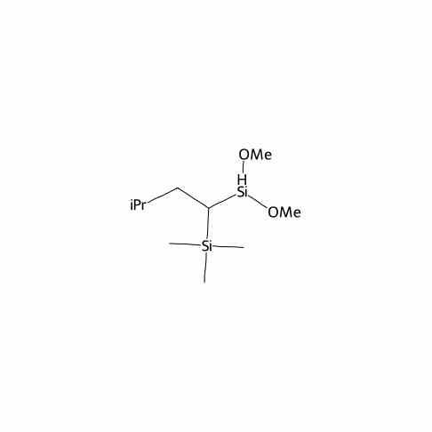 CO[SiH](OC)C(CC(C)C)[Si](C)(C)C